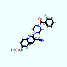 COc1ccc2nc(N3CCN(C(=O)c4ccccc4F)CC3)c(C#N)cc2c1